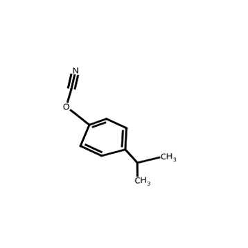 CC(C)c1ccc(OC#N)cc1